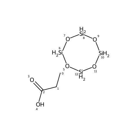 CCC(=O)O.O1[SiH2]O[SiH2]O[SiH2]O[SiH2]1